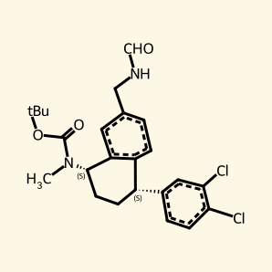 CN(C(=O)OC(C)(C)C)[C@H]1CC[C@@H](c2ccc(Cl)c(Cl)c2)c2ccc(CNC=O)cc21